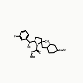 COC1CCC(C[C@@]2(C)CC[C@H]([C@@H](O)c3cccc(F)c3)N2C(=O)OC(C)(C)C)CC1